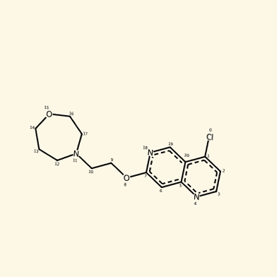 Clc1ccnc2cc(OCCN3CCCOCC3)ncc12